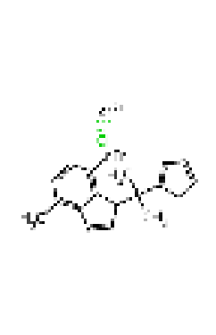 CCCc1ccc(C)c2c1C(C(C)(C)C1=CC=CC1)C=C2.[Cl-].[Cl-].[Zr+2]